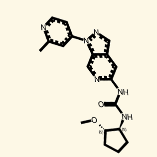 CO[C@H]1CCC[C@@H]1NC(=O)Nc1cc2cnn(-c3ccnc(C)c3)c2cn1